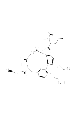 CC(=O)N[C@@H](CCCO)C(=O)N(C)[C@@H]1C(=O)N[C@@H](C)C(=O)N[C@H](C(=O)NCC#N)Cc2ccc(OCCN)c(c2)-c2cc1ccc2OCCN